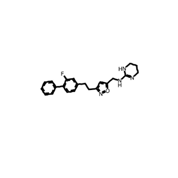 Fc1cc(CCc2cc(CNC3=NCCCN3)on2)ccc1-c1ccccc1